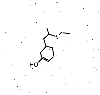 CCSC(C)CC1CCC=C(O)C1